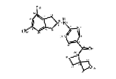 O=C(c1cnc(N[C@@H]2Cc3cc(Cl)cc(F)c3C2)nc1)N1CCC12COC2